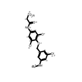 CCC(C)Nc1cc(COc2c(Cl)cc(NC(=O)CC(=O)O)cc2Cl)cc(C(F)(F)F)c1